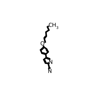 CCCCC=CCOc1ccc(-c2ccc(C#N)nc2)cc1